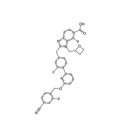 N#Cc1ccc(COc2cccc(-c3ccc(Cc4nc5ccc(C(=O)O)c(F)c5n4CC4CCO4)cc3F)n2)c(F)c1